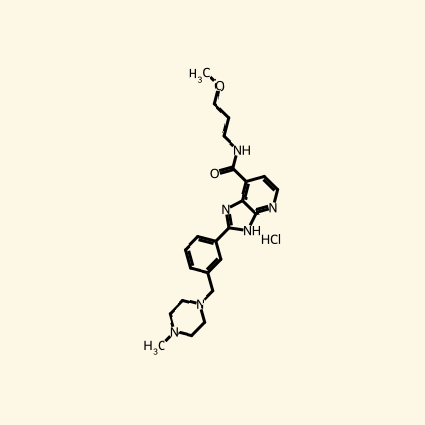 COCCCNC(=O)c1ccnc2[nH]c(-c3cccc(CN4CCN(C)CC4)c3)nc12.Cl